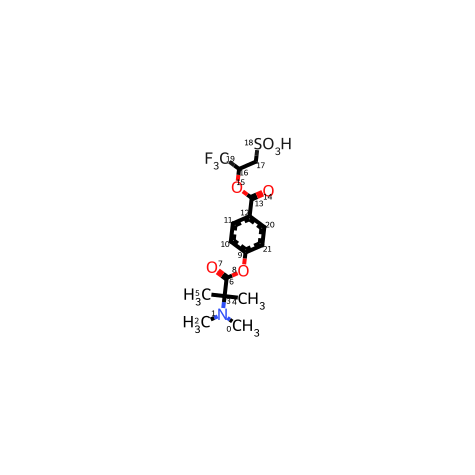 CN(C)C(C)(C)C(=O)Oc1ccc(C(=O)OC(CS(=O)(=O)O)C(F)(F)F)cc1